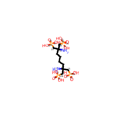 NC(CCCCC(N)(CP(=O)(O)O)CP(=O)(O)O)(CP(=O)(O)O)CP(=O)(O)O